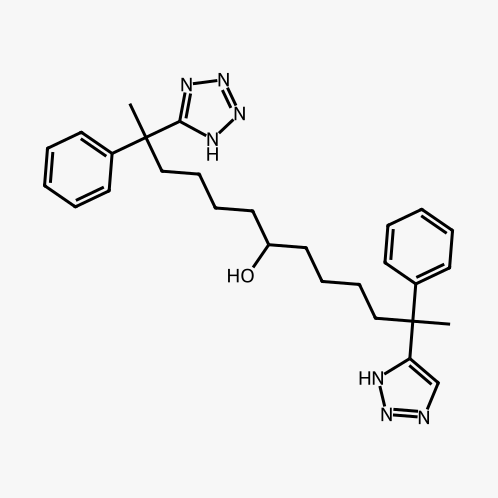 CC(CCCCC(O)CCCCC(C)(c1ccccc1)c1nnn[nH]1)(c1ccccc1)c1cnn[nH]1